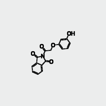 O=C(COc1cccc(O)c1)N1C(=O)c2ccccc2C1=O